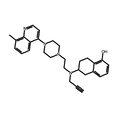 C#CCN(CCN1CCN(c2ccnc3c(C)cccc23)CC1)C1CCc2c(O)cccc2C1